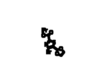 CC(C)OC(=O)c1nc(Br)c(C2OCCO2)s1